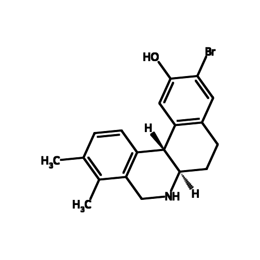 Cc1ccc2c(c1C)CN[C@@H]1CCc3cc(Br)c(O)cc3[C@@H]21